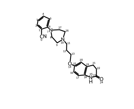 N#Cc1ccccc1N1CCN(CCCOc2ccc3c(c2)CCC(=O)N3)CC1